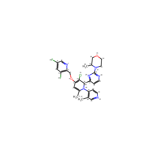 CC1=CC(OCc2ncc(F)cc2F)=C(Cl)[C@@H](c2ccnc(N3CCOCC3C)n2)N1c1ccncc1C